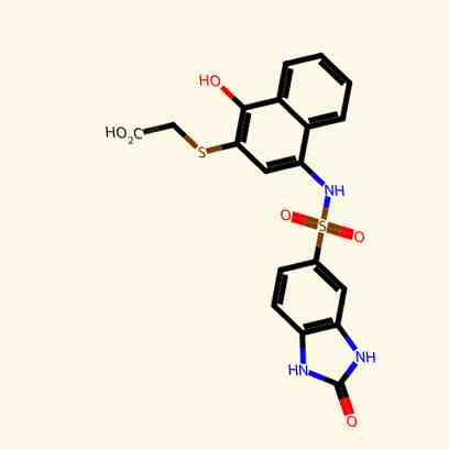 O=C(O)CSc1cc(NS(=O)(=O)c2ccc3[nH]c(=O)[nH]c3c2)c2ccccc2c1O